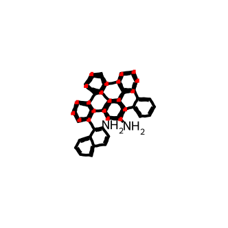 Nc1c(N)c(-c2ccccc2-c2cccc3ccccc23)c(-c2ccccc2-c2ccccc2)c(-c2ccccc2-c2ccccc2)c1-c1ccccc1-c1ccccc1-c1ccccc1